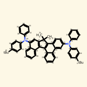 CC(C)(C)c1ccc(N(c2ccccc2)c2ccc3c4c(c5ccccc5c3c2)-c2c(cc(N(c3ccccc3)c3ccc(C(C)(C)C)cc3)c3ccccc23)C4(C)C)cc1